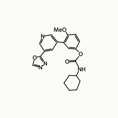 COc1ccc(OC(=O)NC2CCCCC2)cc1-c1cncc(-c2nnco2)c1